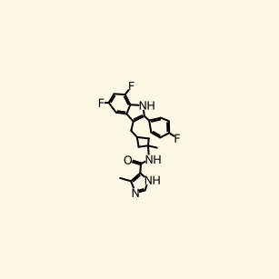 Cc1nc[nH]c1C(=O)NC1(C)CC(Cc2c(-c3ccc(F)cc3)[nH]c3c(F)cc(F)cc23)C1